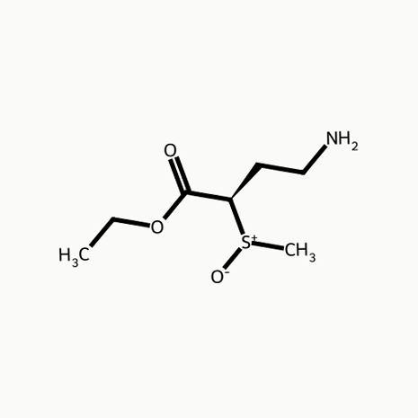 CCOC(=O)[C@@H](CCN)[S+](C)[O-]